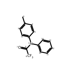 Cc1ccc(N(C(=O)C(F)(F)F)c2ccccc2)cc1